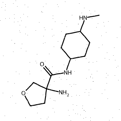 CNC1CCC(NC(=O)C2(N)CCOC2)CC1